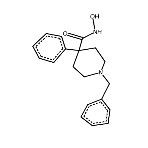 O=C(NO)C1(c2ccccc2)CCN(Cc2ccccc2)CC1